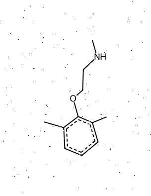 CNCCOc1c(C)cccc1C